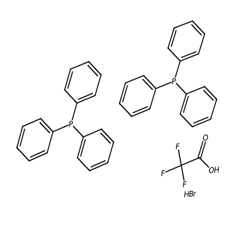 Br.O=C(O)C(F)(F)F.c1ccc(P(c2ccccc2)c2ccccc2)cc1.c1ccc(P(c2ccccc2)c2ccccc2)cc1